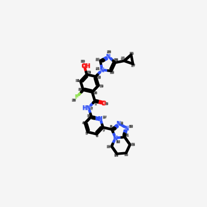 O=C(Nc1cccc(-c2nnc3n2CCCC3)n1)c1cc(-n2cnc(C3CC3)c2)c(O)cc1F